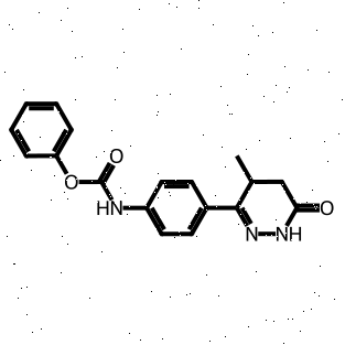 CC1CC(=O)NN=C1c1ccc(NC(=O)Oc2ccccc2)cc1